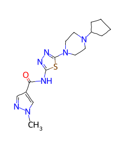 Cn1cc(C(=O)Nc2nnc(N3CCN(C4CCCC4)CC3)s2)cn1